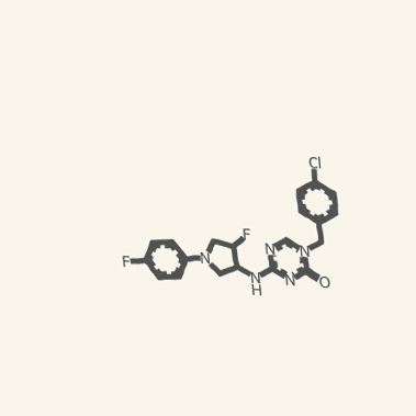 O=c1nc(NC2CN(c3ccc(F)cc3)CC2F)ncn1Cc1ccc(Cl)cc1